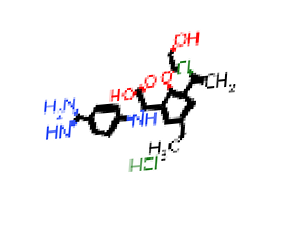 C=C(Cl)c1cc(CC)cc(C(Nc2ccc(C(=N)N)cc2)C(=O)O)c1OCCO.Cl